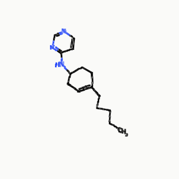 CCCCCC1=CCC(Nc2ccncn2)CC1